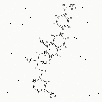 CC(C)(COc1nccc(N)n1)Cn1nnc2ccc(-c3ccc(OC(F)(F)F)cc3)cc2c1=O